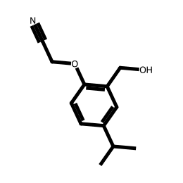 CC(C)c1ccc(OCC#N)c(CO)c1